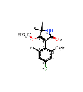 CCOC(=O)OC1=C(c2c(CC)cc(Cl)cc2OC)C(=O)NC1(C)C